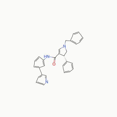 O=C(Nc1cccc(-c2cccnc2)c1)C1=CN(Cc2ccccc2)C[C@@H]1c1ccccc1